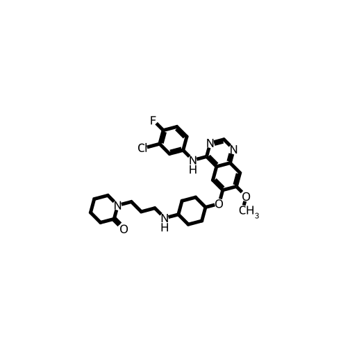 COc1cc2ncnc(Nc3ccc(F)c(Cl)c3)c2cc1OC1CCC(NCCCN2CCCCC2=O)CC1